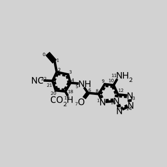 C#Cc1cc(NC(=O)c2cc(N)c3nnnn3n2)c(C(=O)O)cc1C#N